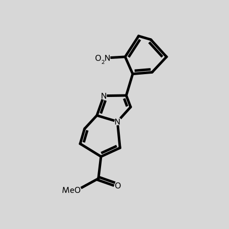 COC(=O)c1ccc2nc(-c3ccccc3[N+](=O)[O-])cn2c1